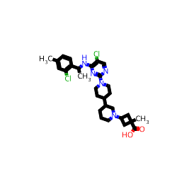 Cc1ccc(C(C)Nc2nc(N3CCC(C4CCCN(C5CC(C)(C(=O)O)C5)C4)CC3)ncc2Cl)c(Cl)c1